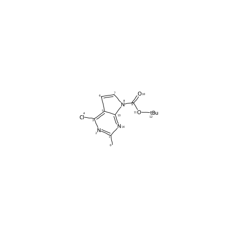 Cc1nc(Cl)c2ccn(C(=O)OC(C)(C)C)c2n1